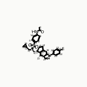 CC(=O)Nc1ccc(S(=O)(=O)N(CC2CC2)C[C@@H]2CCC3=C2[C@@H](C)c2cnn(-c4ccc(F)cc4)c2C3)cc1